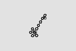 c1ccc(-c2ccccc2-c2nc(-c3ccc(-c4ccc(-c5ccc(-c6ccc7c(c6)oc6ccccc67)cc5)cc4)cc3)nc(-c3ccccc3-c3ccccc3)n2)cc1